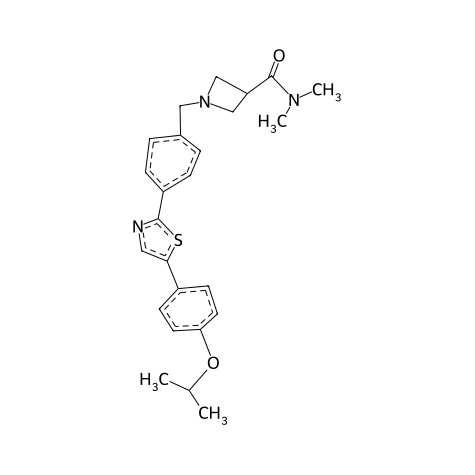 CC(C)Oc1ccc(-c2cnc(-c3ccc(CN4CC(C(=O)N(C)C)C4)cc3)s2)cc1